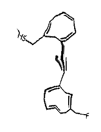 Fc1cccc(C#Cc2ccccc2CS)c1